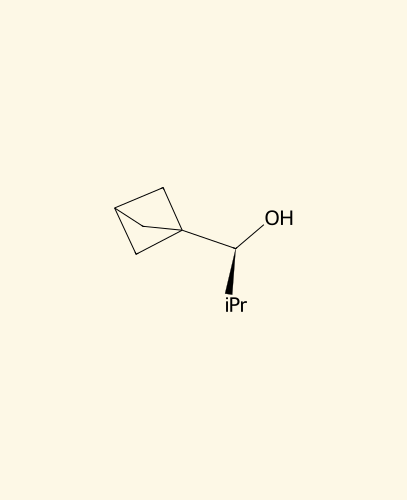 CC(C)[C@H](O)C12CC(C1)C2